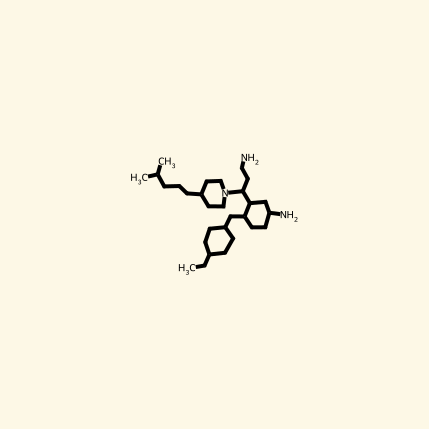 CCC1CCC(CC2CCC(N)CC2C(CCN)N2CCC(CCCC(C)C)CC2)CC1